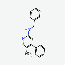 O=[N+]([O-])c1cnc(NCc2ccccc2)cc1-c1ccccc1